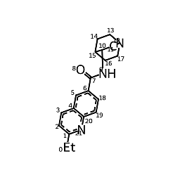 CCc1ccc2cc(C(=O)NC3CN4CCC3CC4)ccc2n1